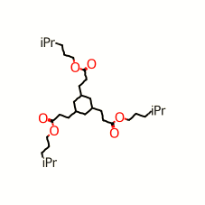 CC(C)CCCOC(=O)CCC1CC(CCC(=O)OCCCC(C)C)CC(CCC(=O)OCCCC(C)C)C1